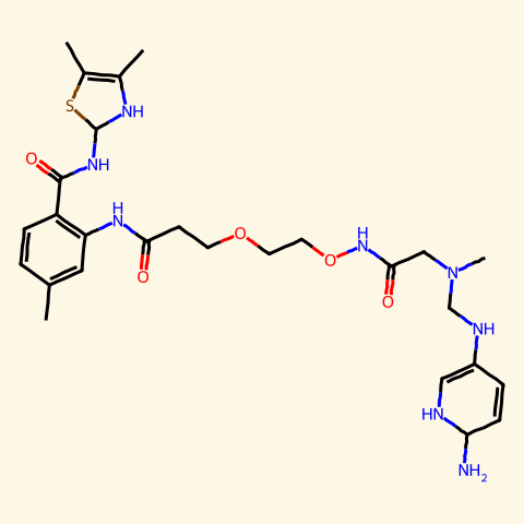 CC1=C(C)SC(NC(=O)c2ccc(C)cc2NC(=O)CCOCCONC(=O)CN(C)CNC2=CNC(N)C=C2)N1